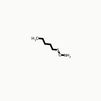 CCCCCSON